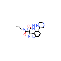 CCCNC(=O)c1c(N)c2cccc(-c3cnccn3)c2[nH]c1=O